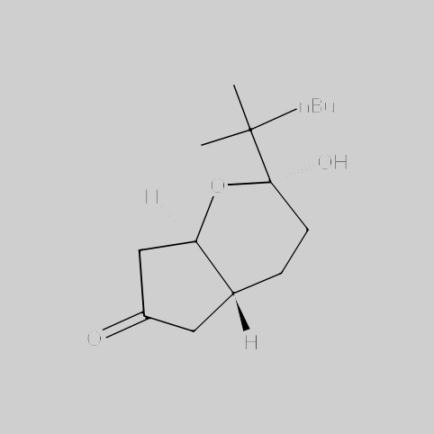 CCCCC(C)(C)[C@@]1(O)CC[C@@H]2CC(=O)C[C@H]2O1